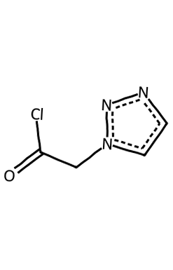 O=C(Cl)Cn1ccnn1